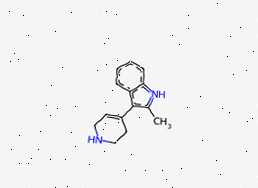 Cc1[nH]c2ccccc2c1C1=CCNCC1